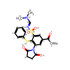 COC(=O)c1cc(N2C(=O)CCC2=O)c(Sc2ccccc2)c(S(=O)(=O)N=CN(C)C)c1